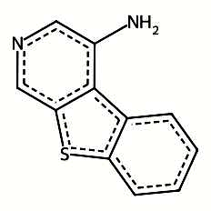 Nc1cncc2sc3ccccc3c12